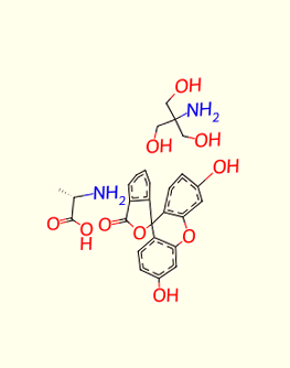 C[C@H](N)C(=O)O.NC(CO)(CO)CO.O=C1OC2(c3ccc(O)cc3Oc3cc(O)ccc32)c2ccccc21